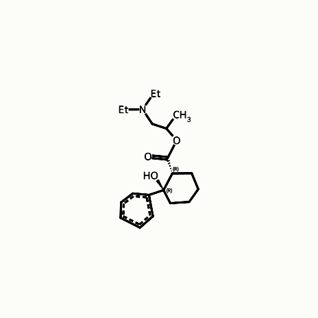 CCN(CC)CC(C)OC(=O)[C@@H]1CCCC[C@]1(O)c1ccccc1